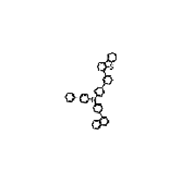 c1ccc(-c2ccc(N(c3ccc(-c4cccc(-c5cccc6c5sc5ccccc56)c4)cc3)c3ccc(-c4cccc5ccccc45)cc3)cc2)cc1